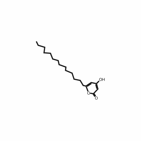 CCCCCCCCCCCCCCc1cc(O)cc(=O)o1